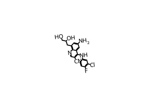 N#Cc1cnc2c(CC(O)CO)cc(N)cc2c1Nc1ccc(F)c(Cl)c1